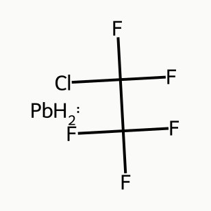 FC(F)(F)C(F)(F)Cl.[PbH2]